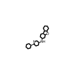 c1ccc(-c2ccc(Nc3ccc4c(c3)oc3ccccc34)cn2)cc1